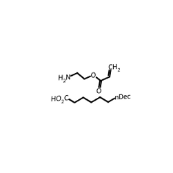 C=CC(=O)OCCN.CCCCCCCCCCCCCCCC(=O)O